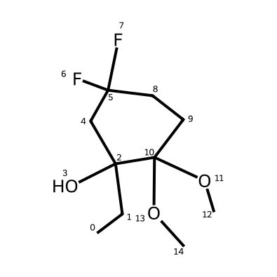 CCC1(O)CC(F)(F)CCC1(OC)OC